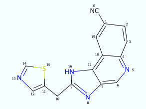 N#Cc1ccc2ncc3nc(Cc4cncs4)[nH]c3c2c1